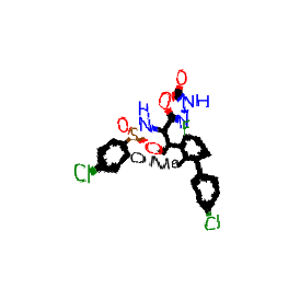 COc1cc(Cl)ccc1S(=O)(=O)NC(c1n[nH]c(=O)o1)C(C)c1c(F)ccc(-c2ccc(Cl)cc2)c1C